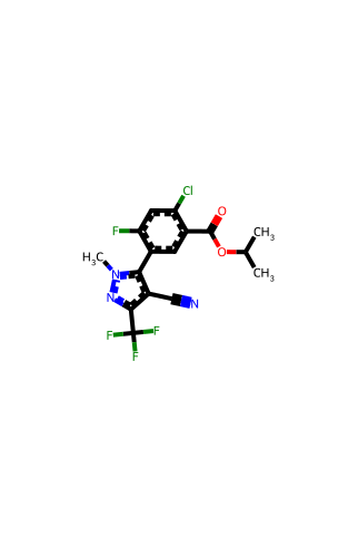 CC(C)OC(=O)c1cc(-c2c(C#N)c(C(F)(F)F)nn2C)c(F)cc1Cl